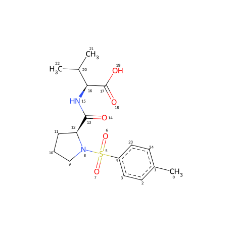 Cc1ccc(S(=O)(=O)N2CCC[C@H]2C(=O)N[C@H](C(=O)O)C(C)C)cc1